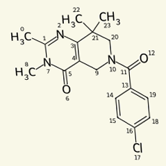 Cc1nc2c(c(=O)n1C)CN(C(=O)c1ccc(Cl)cc1)CC2(C)C